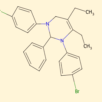 CCC1=C(CC)N(c2ccc(Br)cc2)C(c2ccccc2)N(c2ccc(Br)cc2)C1